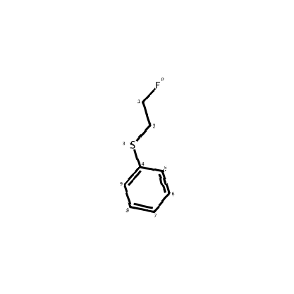 FCCSc1[c]cccc1